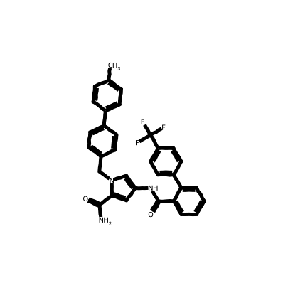 Cc1ccc(-c2ccc(Cn3cc(NC(=O)c4ccccc4-c4ccc(C(F)(F)F)cc4)cc3C(N)=O)cc2)cc1